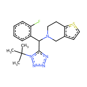 CC(C)(C)n1nnnc1C(c1ccccc1F)N1CCc2sccc2C1